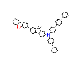 CC1(C)c2cc(-c3ccc4c(c3)oc3ccccc34)ccc2-c2ccc(N(c3ccc(-c4ccccc4)cc3)c3ccc(-c4ccc(-c5ccccc5)cc4)cc3)cc21